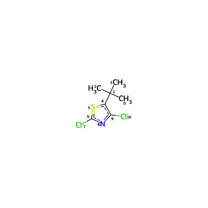 CC(C)(C)c1sc(Cl)nc1Cl